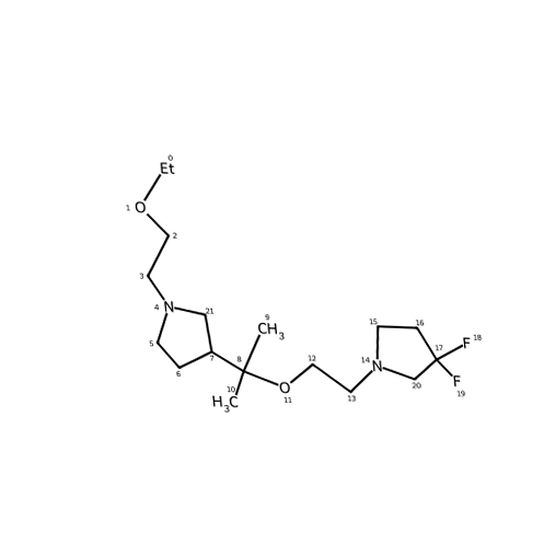 CCOCCN1CCC(C(C)(C)OCCN2CCC(F)(F)C2)C1